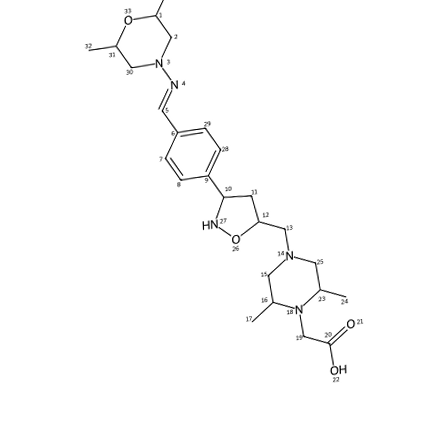 CC1CN(N=Cc2ccc(C3CC(CN4CC(C)N(CC(=O)O)C(C)C4)ON3)cc2)CC(C)O1